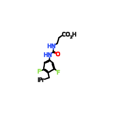 CC(C)Cc1c(F)cc(NC(=O)NCCC(=O)O)cc1F